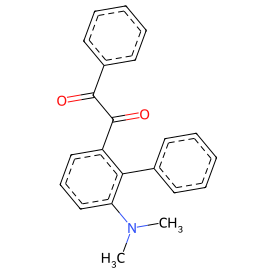 CN(C)c1cccc(C(=O)C(=O)c2ccccc2)c1-c1ccccc1